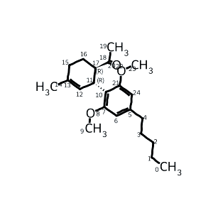 CCCCCc1cc(OC)c([C@@H]2C=C(C)CC[C@H]2C(C)=O)c(OC)c1